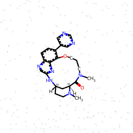 CN1CCCOc2c(-c3cncnc3)ccc3ncc(nc23)N[C@H]2CCN(C)[C@@H](C2)C1=O